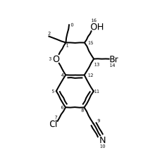 CC1(C)Oc2cc(Cl)c(C#N)cc2C(Br)C1O